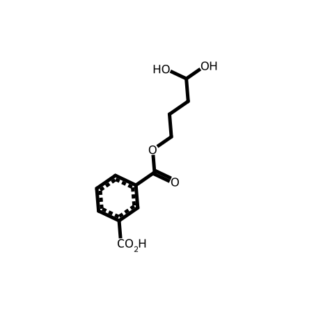 O=C(O)c1cccc(C(=O)OCCCC(O)O)c1